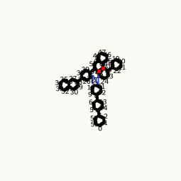 c1ccc(-c2ccc(-c3ccc(N(c4ccc(-c5ccccc5)cc4)c4cc(-c5ccc6ccccc6c5)ccc4-c4ccc5ccccc5c4)cc3)cc2)cc1